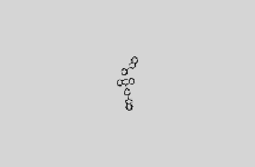 c1cc(-c2ccc3ccccc3c2)cc(-c2c3ccccc3c(-c3ccc(-c4cc5ccccc5s4)cc3)c3ccccc23)c1